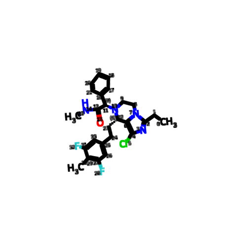 CCc1nc(Cl)c2n1CCN([C@@H](C(=O)NC)c1ccccc1)[C@H]2CCc1cc(F)c(C)c(F)c1